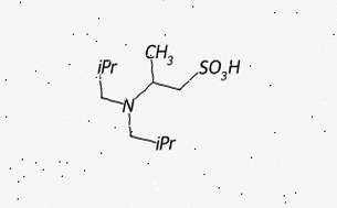 CC(C)CN(CC(C)C)C(C)CS(=O)(=O)O